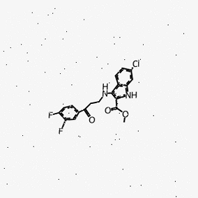 COC(=O)c1[nH]c2cc(Cl)ccc2c1NCCC(=O)c1ccc(F)c(F)c1